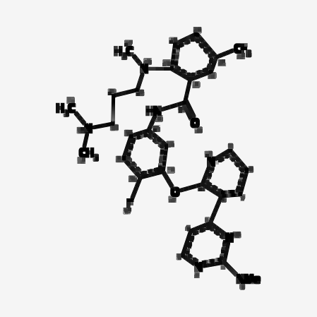 CNc1nccc(-c2cccnc2Oc2cc(NC(=O)c3cc(C(F)(F)F)ccc3N(C)CCCN(C)C)ccc2F)n1